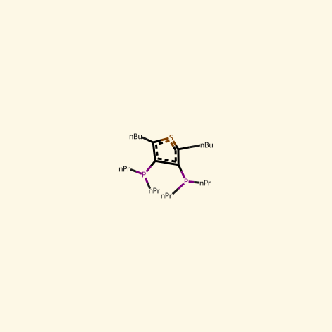 CCCCc1sc(CCCC)c(P(CCC)CCC)c1P(CCC)CCC